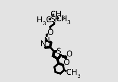 CC1CCCc2c1oc(=O)c1sc(-c3cnn(COCC[Si](C)(C)C)c3)cc21